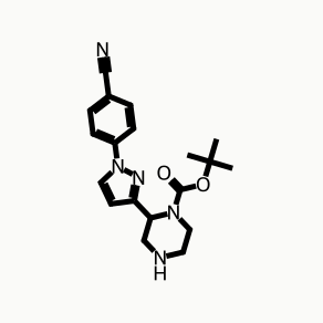 CC(C)(C)OC(=O)N1CCNCC1c1ccn(-c2ccc(C#N)cc2)n1